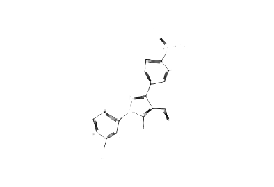 O=Cc1c(-c2ccc([N+](=O)[O-])cc2)nn(-c2cccc(F)c2)c1Cl